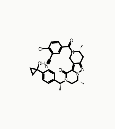 C[C@@H]1Cc2nn3c(c2CN1C(=O)c1ccc(Cl)c(C#N)c1)C(=O)N([C@@H](C)c1ccc(C2(O)CC2)cc1)C[C@H]3C